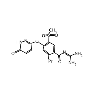 CC(C)c1cc(Oc2ccc(=O)[nH]n2)c(S(C)(=O)=O)cc1C(=O)N=C(N)N